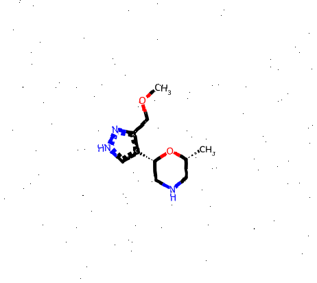 COCc1n[nH]cc1[C@H]1CNC[C@@H](C)O1